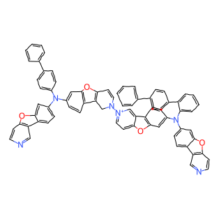 C1=CN([n+]2ccc3oc4cc(N(c5ccc6c(c5)oc5ccncc56)c5ccccc5-c5ccc(-c6ccccc6)cc5)ccc4c3c2)Cc2c1oc1cc(N(c3ccc(-c4ccccc4)cc3)c3ccc4c(c3)oc3ccncc34)ccc21